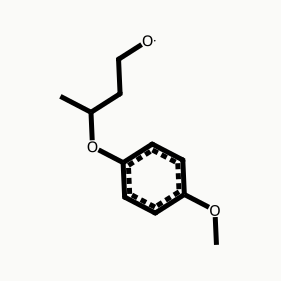 COc1ccc(OC(C)CC[O])cc1